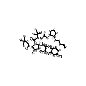 C=CCCC[C@@H]1CCC[C@H]1OC(=O)N[C@H](C(=O)N1C[C@H](Oc2nc3cc(Cl)ccc3nc2Cl)[C@@H](C)[C@H]1C(=O)OC(C)(C)C)C(C)(C)C